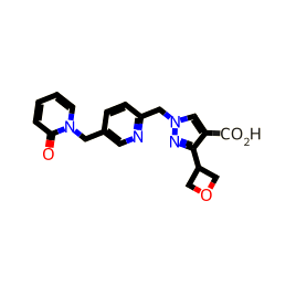 O=C(O)c1cn(Cc2ccc(Cn3ccccc3=O)cn2)nc1C1COC1